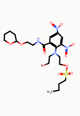 CCCCS(=O)(=O)OCCN(CCBr)c1c(C(=O)NCCOC2CCCCO2)cc([N+](=O)[O-])cc1[N+](=O)[O-]